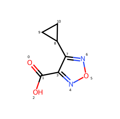 O=C(O)c1nonc1C1CC1